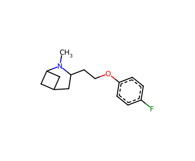 CN1C(CCOc2ccc(F)cc2)CC2CC1C2